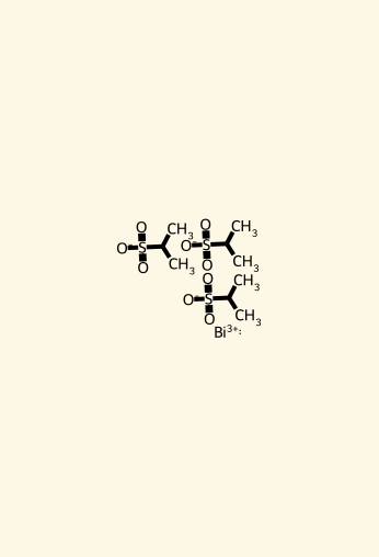 CC(C)S(=O)(=O)[O-].CC(C)S(=O)(=O)[O-].CC(C)S(=O)(=O)[O-].[Bi+3]